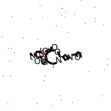 CO[C@]1(C)C[C@@H](C)CN(C)[C@H](C2CC(N(C)CC3CCCO3)C2)COC(=O)C(C)(C)C(=O)[C@H](C)[C@H]1O[C@@H]1O[C@H](C)C[C@H](N(C)C)[C@H]1O